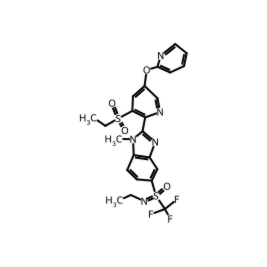 CCN=S(=O)(c1ccc2c(c1)nc(-c1ncc(Oc3ccccn3)cc1S(=O)(=O)CC)n2C)C(F)(F)F